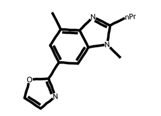 CCCc1nc2c(C)cc(-c3ncco3)cc2n1C